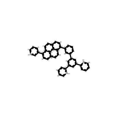 c1ccc(-c2cc(-c3cccc(-c4ccc5ccc6c(-c7cccnc7)ccc7ccc4c5c76)c3)cc(-c3ccccn3)c2)nc1